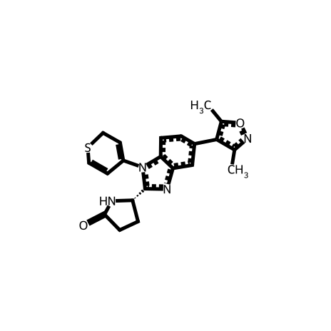 Cc1noc(C)c1-c1ccc2c(c1)nc([C@@H]1CCC(=O)N1)n2C1=CCSC=C1